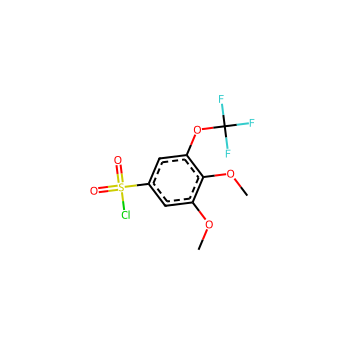 COc1cc(S(=O)(=O)Cl)cc(OC(F)(F)F)c1OC